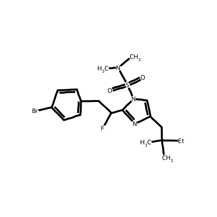 CCC(C)(C)Cc1cn(S(=O)(=O)N(C)C)c(C(F)Cc2ccc(Br)cc2)n1